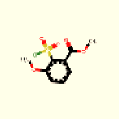 COC(=O)c1cccc(OC)c1S(=O)(=O)Cl